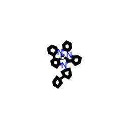 c1ccc(-c2cccc(N3c4cccc5c4B4c6c3c3ccccc3n6-c3ccccc3N4c3ccccc3-5)c2)cc1